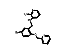 Nc1ncccc1NCc1cc(Br)ccc1OCc1ccccn1